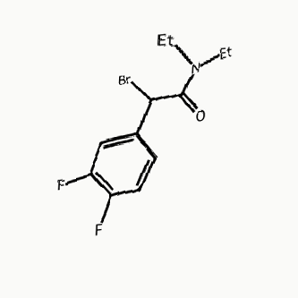 CCN(CC)C(=O)C(Br)c1ccc(F)c(F)c1